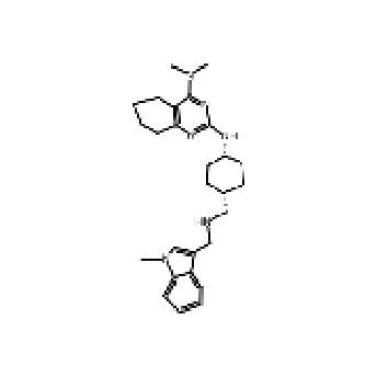 CN(C)c1nc(N[C@H]2CC[C@@H](CNCc3cn(C)c4ccccc34)CC2)nc2c1CCCC2